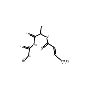 CCOC(=O)/C=C/C(=O)OC(C)C(=O)OC(=O)CBr